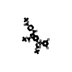 CC(C)(C)OC(=O)CN(c1ccc2c(C(=O)N3CCN(C(=O)OC(C)(C)C)CC3)cn(C(=O)OC(C)(C)C)c2c1)S(=O)(=O)c1cc(Cl)cc(Cl)c1